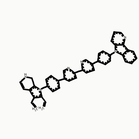 C=Cc1c2c(n(-c3ccc(-c4ccc(-c5ccc(-c6ccc(-n7c8ccccc8c8ncccc87)cc6)cn5)nc4)cc3)c1C=C)CNC=C2